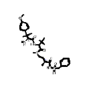 CN[C@H](C(=O)NC(C(=O)N(C)C/C=C(\C)C(=O)NS(=O)(=O)Cc1ccccc1)C(C)(C)C)C(C)(C)c1ccc(OC)cc1